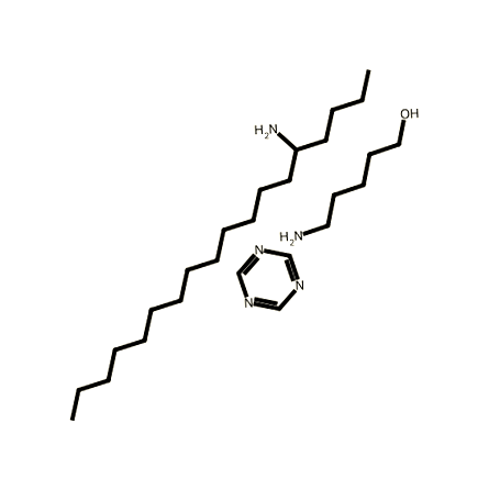 CCCCCCCCCCCCCC(N)CCCC.NCCCCCO.c1ncncn1